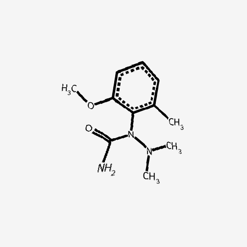 COc1cccc(C)c1N(C(N)=O)N(C)C